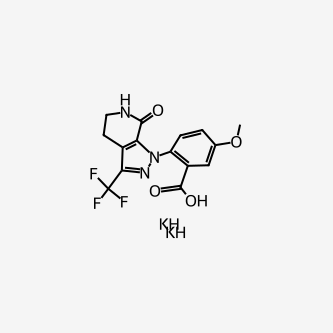 COc1ccc(-n2nc(C(F)(F)F)c3c2C(=O)NCC3)c(C(=O)O)c1.[KH].[KH]